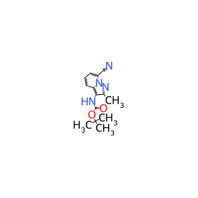 Cc1nn2c(C#N)cccc2c1NC(=O)OC(C)(C)C